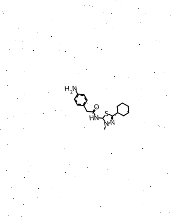 CN1N=C(C2CCCCC2)SC1NC(=O)Cc1ccc(N)cc1